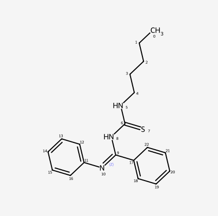 CCCCCNC(=S)N/C(=N\c1ccccc1)c1ccccc1